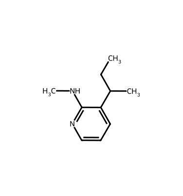 CCC(C)c1cccnc1NC